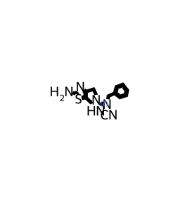 N#CN/C(=N/Cc1ccccc1)N1CCc2nc(N)sc2C1